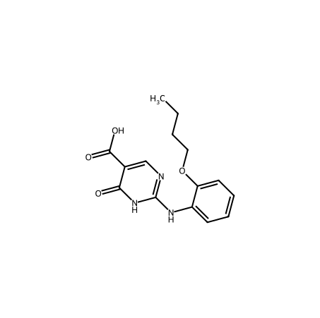 CCCCOc1ccccc1Nc1ncc(C(=O)O)c(=O)[nH]1